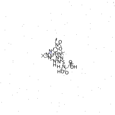 C#CCN1C(=O)COc2cc(F)c(/N=c3\snc4n3CC(C)(C)C4)cc21.CCNc1nc(NC(C)(C)C)nc(SC)n1.CP(=O)(O)CCC(N)C(=O)O